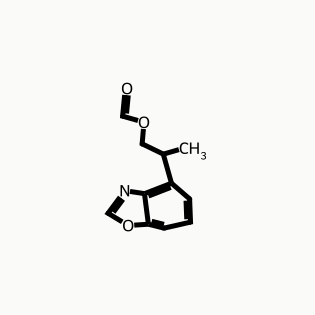 CC(COC=O)c1cccc2ocnc12